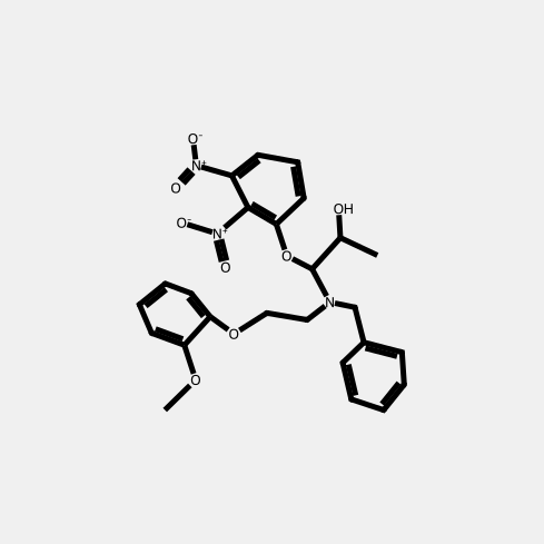 COc1ccccc1OCCN(Cc1ccccc1)C(Oc1cccc([N+](=O)[O-])c1[N+](=O)[O-])C(C)O